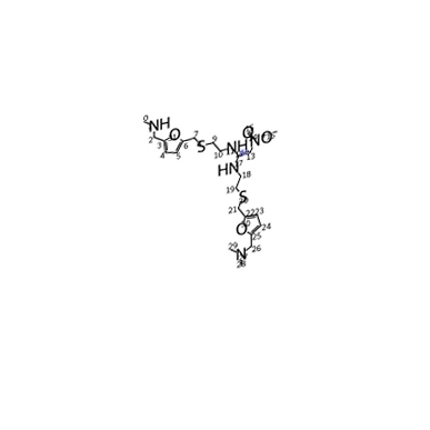 CNCc1ccc(CSCCN/C(=C\[N+](=O)[O-])NCCSCc2ccc(CN(C)C)o2)o1